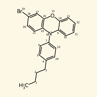 CCCCc1ccc(N2c3ccccc3Oc3cc(Br)ccc32)cc1